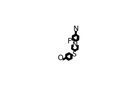 N#Cc1ccc(N2CCC(Sc3ccc(C=O)cc3)CC2)c(F)c1